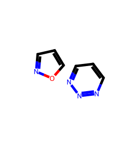 c1cnnnc1.c1cnoc1